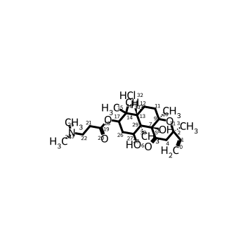 C=C[C@@]1(C)CC(=O)[C@@]2(O)[C@@](C)(CC[C@H]3C(C)(C)C(OC(=O)CCN(C)C)CC(O)[C@@]32C)O1.Cl